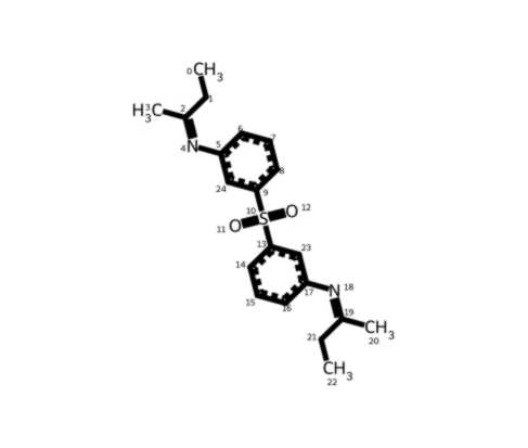 CCC(C)=Nc1cccc(S(=O)(=O)c2cccc(N=C(C)CC)c2)c1